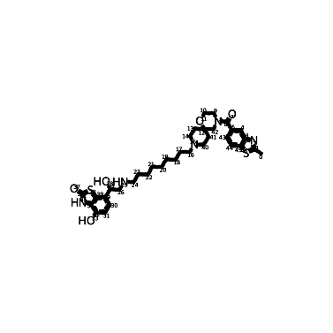 Cc1nc2cc(C(=O)N3CCOC4(CCN(CCCCCCCCCNCC(O)c5ccc(O)c6[nH]c(=O)sc56)CC4)C3)ccc2s1